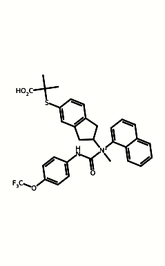 CC(C)(Sc1ccc2c(c1)CC([N+](C)(C(=O)Nc1ccc(OC(F)(F)F)cc1)c1cccc3ccccc13)C2)C(=O)O